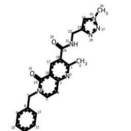 Cc1nc2ccn(Cc3ccccc3)c(=O)c2cc1C(=O)NCc1cn(C)nn1